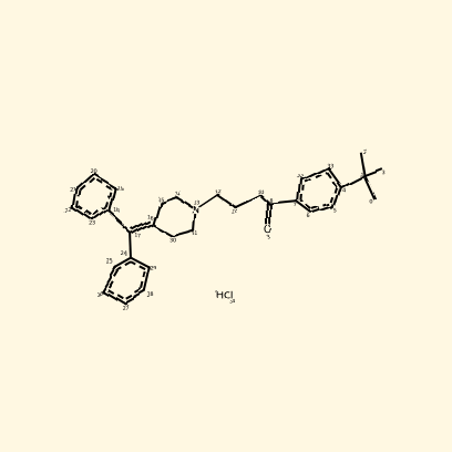 CC(C)(C)c1ccc(C(=O)CCCN2CCC(=C(c3ccccc3)c3ccccc3)CC2)cc1.Cl